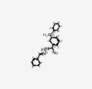 N=C(N/N=C/c1ccccc1)c1cccc([SiH2]c2ccccc2)c1